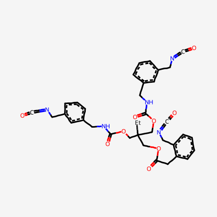 CCC(COC(=O)Cc1ccccc1CN=C=O)(COC(=O)NCc1cccc(CN=C=O)c1)COC(=O)NCc1cccc(CN=C=O)c1